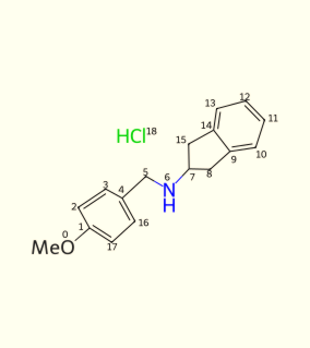 COc1ccc(CNC2Cc3ccccc3C2)cc1.Cl